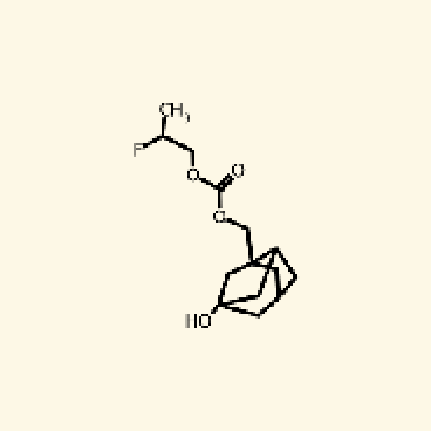 CC(F)COC(=O)OCC12CC3CC1CC(O)(C3)C2